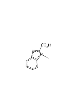 Cn1c(C(=O)O)cc2[c]cccc21